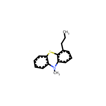 CCCc1cccc2c1Sc1ccccc1N2C